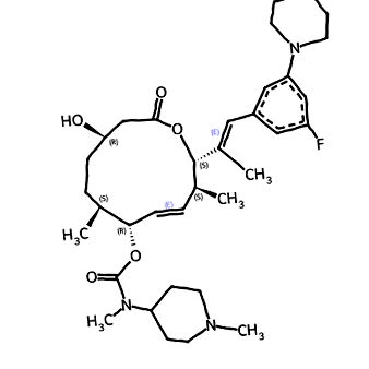 C/C(=C\c1cc(F)cc(N2CCOCC2)c1)[C@H]1OC(=O)C[C@H](O)CC[C@H](C)[C@@H](OC(=O)N(C)C2CCN(C)CC2)/C=C/[C@@H]1C